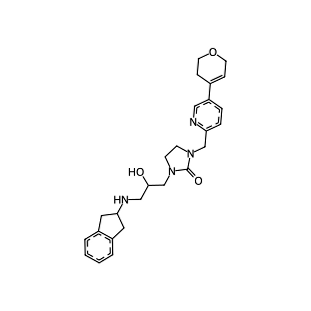 O=C1N(Cc2ccc(C3=CCOCC3)cn2)CCN1CC(O)CNC1Cc2ccccc2C1